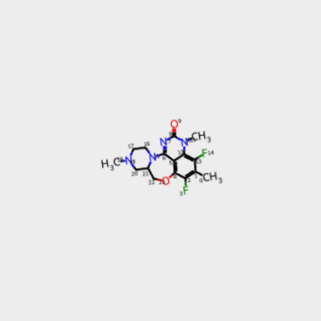 Cc1c(F)c2c3c(nc(=O)n(C)c3c1F)N1CCN(C)CC1CO2